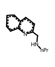 CCCNCc1ccc2ccccc2n1